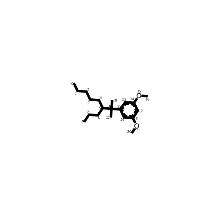 CCCCCC(CCC)C(C)(C)c1cc(OC)cc(OC)c1